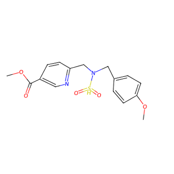 COC(=O)c1ccc(CN(Cc2ccc(OC)cc2)[SH](=O)=O)nc1